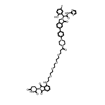 O=C1CCC(N2C(=O)c3cccc(NCCOCCOCCOCCOCCC(=O)N4CCN(c5ccc(-c6ccc7c(c6)C(=O)N(C(C(=O)Nc6nccs6)c6cc(F)ccc6O)C7)cc5)CC4)c3C2=O)C(=O)N1